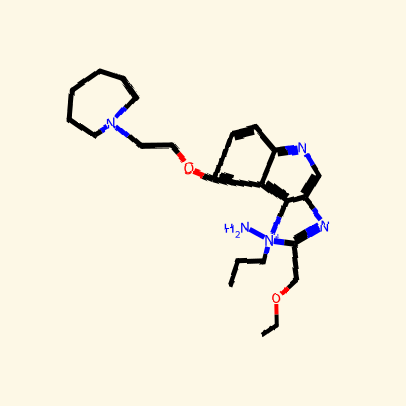 CCC[N+]1(N)C(COCC)=Nc2cnc3ccc(OCCN4CCCCCC4)cc3c21